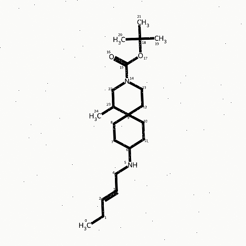 CCC=CCNC1CCC2(CC1)CCN(C(=O)OC(C)(C)C)CC2C